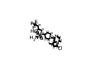 Cc1cc(Cl)n2ncnc(N3CCC(N(CC(O)CC(F)(F)F)S(N)(=O)=O)CC3)c12